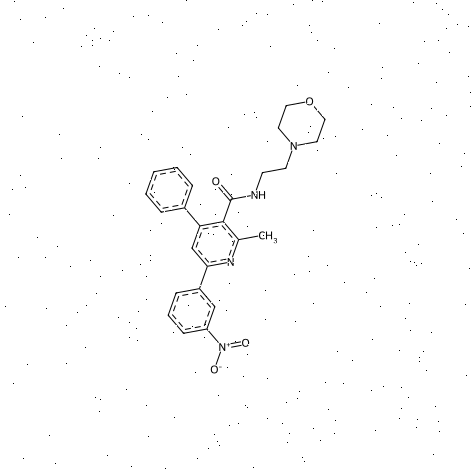 Cc1nc(-c2cccc([N+](=O)[O-])c2)cc(-c2ccccc2)c1C(=O)NCCN1CCOCC1